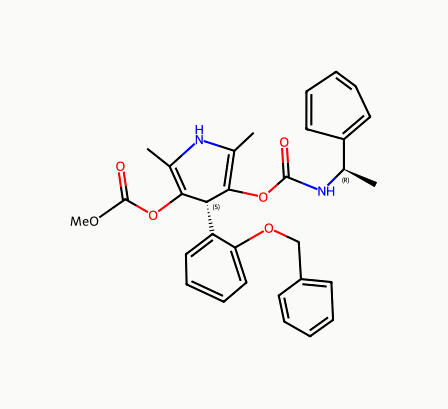 COC(=O)OC1=C(C)NC(C)=C(OC(=O)N[C@H](C)c2ccccc2)[C@@H]1c1ccccc1OCc1ccccc1